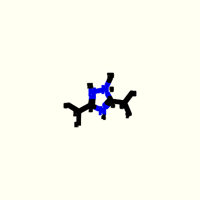 CC(C)c1nc(C(C)C)n(C)n1